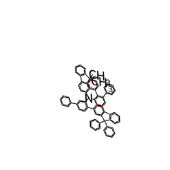 CC1(C)c2ccccc2-c2ccc(N(c3cc(-c4ccccc4)ccc3-c3ccc4c(c3)C(c3ccccc3)(c3ccccc3)c3ccccc3-4)c3cccc(-c4ccccc4)c3-c3ccccc3)cc21